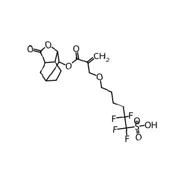 C=C(COCCCCC(F)(F)C(F)(F)S(=O)(=O)O)C(=O)OC1C2CCC3C(C2)C(=O)OC31